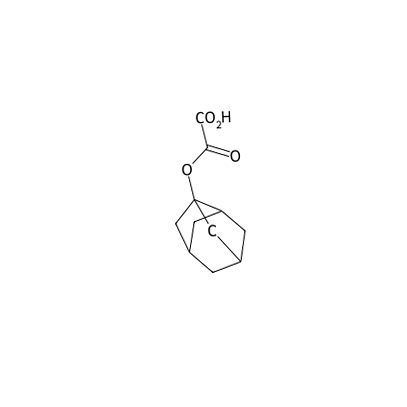 O=C(O)C(=O)OC12CC3CC(CC1C3)C2